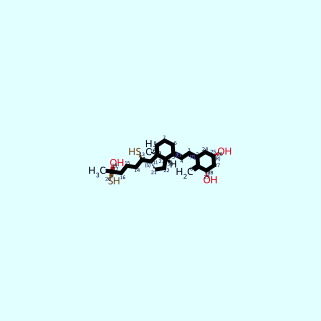 C=C1/C(=C\C=C2/CCC[C@]3(C)[C@@H]([C@H](S)CCCC(C)(O)S)CC[C@@H]23)C[C@@H](O)C[C@@H]1O